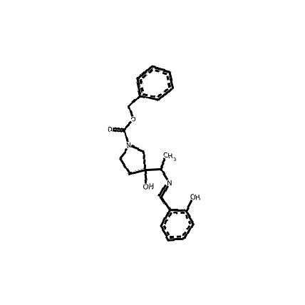 CC(N=Cc1ccccc1O)C1(O)CCN(C(=O)OCc2ccccc2)C1